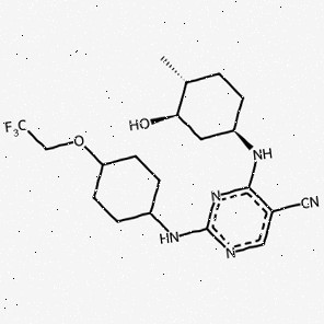 C[C@@H]1CC[C@@H](Nc2nc(NC3CCC(OCC(F)(F)F)CC3)ncc2C#N)C[C@H]1O